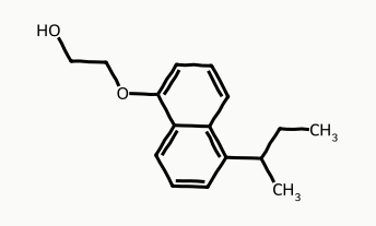 CCC(C)c1cccc2c(OCCO)cccc12